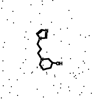 OC1CCCN(CCCn2ccnc2)C1